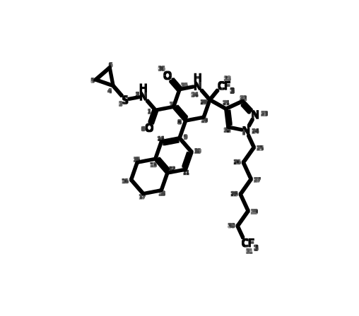 O=C(NSC1CC1)C1=C(c2ccc3c(c2)CCCC3)CC(c2cnn(CCCCCCC(F)(F)F)c2)(C(F)(F)F)NC1=O